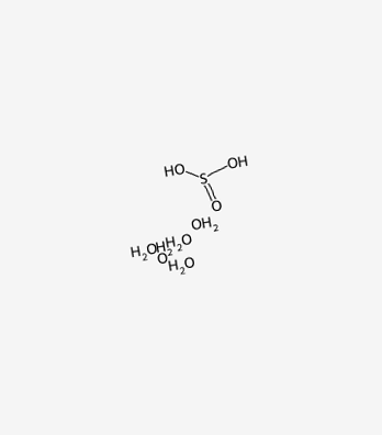 O.O.O.O.O.O=S(O)O